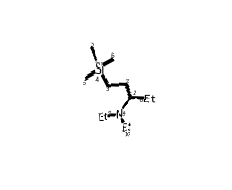 [CH2]CC(CC[Si](C)(C)C)N(CC)CC